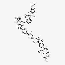 [2H]C([2H])([2H])n1cc(-c2ccnc(N3CCn4c(cc5c4CC(C)(C)C5)C3=O)c2CO)cc(Nc2ccc(N3CCN([C@H]4CCN5c6cc7c(cc6OC[C@H]5C4)C(=O)N(C4CCC(=O)NC4=O)C7=O)C[C@@H]3C)cn2)c1=O